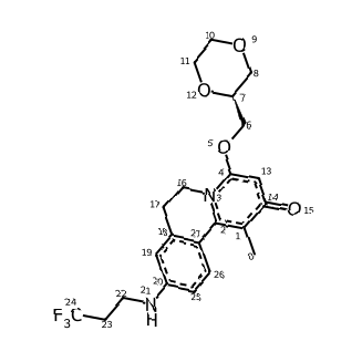 Cc1c2n(c(OC[C@@H]3COCCO3)cc1=O)CCc1cc(NCCC(F)(F)F)ccc1-2